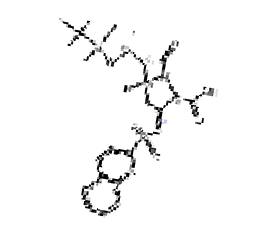 C[C@@H](O[Si](C)(C)C(C)(C)C)[C@@H]1C(=O)N2[C@@H]1C/C(=C\S(=O)(=O)c1ccc3ccccc3n1)[C@@H]2C(=O)O